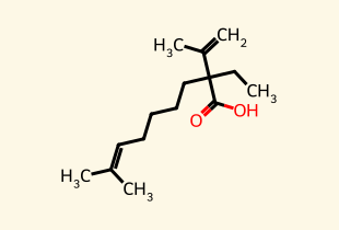 C=C(C)C(CC)(CCCCC=C(C)C)C(=O)O